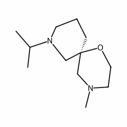 CC(C)N1CCC[C@]2(CN(C)CCO2)C1